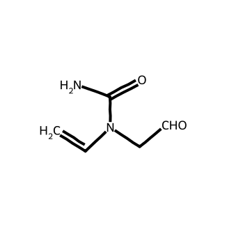 C=CN(CC=O)C(N)=O